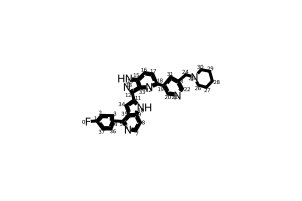 Fc1ccc(-c2nccc3[nH]c(-c4n[nH]c5ccc(-c6cncc(CN7CCCCC7)c6)nc45)cc23)cc1